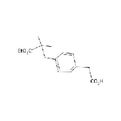 CCOC(=O)C(C)(C)Cc1ccc(CC(=O)O)cc1